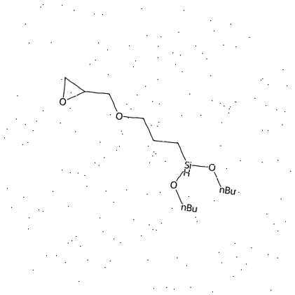 CCCCO[SiH](CCCOCC1CO1)OCCCC